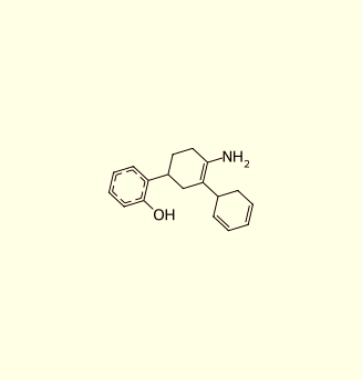 NC1=C(C2C=CC=CC2)CC(c2ccccc2O)CC1